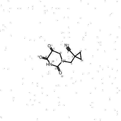 N#CC1(CN2CC(=O)C(=O)NC2=O)CC1